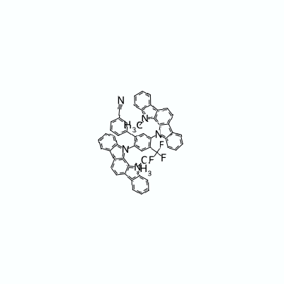 Cn1c2ccccc2c2ccc3c4ccccc4n(-c4cc(C(F)(F)F)c(-n5c6ccccc6c6ccc7c8ccccc8n(C)c7c65)cc4-c4cccc(C#N)c4)c3c21